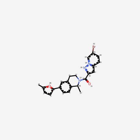 Cc1ccc(-c2ccc3c(c2)CCN(C(=O)c2cc4ccc(Br)cn4n2)C3C)o1